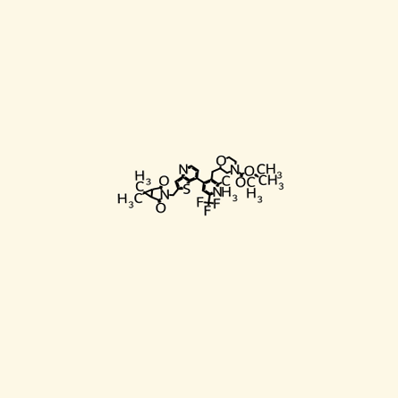 Cc1nc(C(F)(F)F)cc(-c2ccnc3cc(CN4C(=O)C5C(C4=O)C5(C)C)sc23)c1CC1CN(C(=O)OC(C)(C)C)CCO1